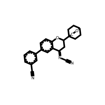 N#C/N=C1\CC(C23CCC(CC2)OC3)Oc2ccc(-c3cccc(C#N)c3)cc21